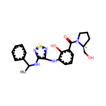 CC(C)(C)C(Nc1nsnc1Nc1cccc(C(=O)N2CCC[C@H]2CO)c1O)c1ccccc1